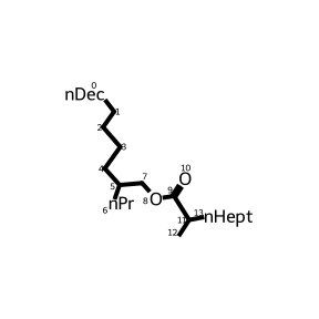 CCCCCCCCCCCCCCC(CCC)COC(=O)C(C)CCCCCCC